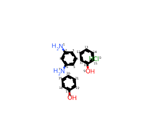 Cl.Nc1cccc(N)c1.Oc1ccccc1.Oc1ccccc1